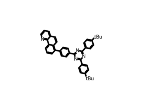 CC(C)(C)c1ccc(-c2nc(-c3ccc(-c4cccc5c4ccc4cccnc45)cc3)nc(-c3ccc(C(C)(C)C)cc3)n2)cc1